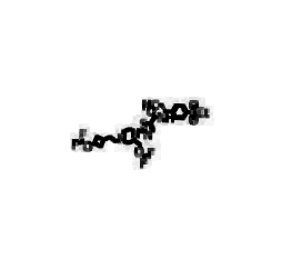 CCS(=O)(=O)c1ccc([C@H](CC#N)NC(=O)c2cnc(N3CCN(CCC4CC(OC(F)F)C4)CC3COC(F)F)s2)cc1